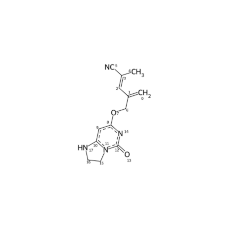 C=C(/C=C(\C)C#N)COc1cc2n(c(=O)n1)CCN2